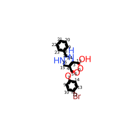 O=C(O)C1=C(C(=O)Oc2ccc(Br)cc2)CNC(c2ccccc2)N1